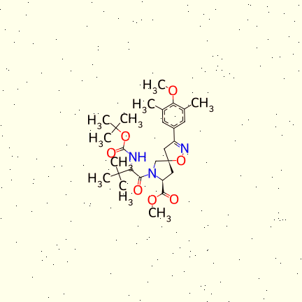 COC(=O)[C@@H]1C[C@]2(CC(c3cc(C)c(OC)c(C)c3)=NO2)CN1C(=O)[C@@H](NC(=O)OC(C)(C)C)C(C)(C)C